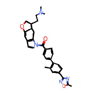 Cc1nc(-c2ccc(-c3ccc(C(=O)n4ccc5c4CC4C(=C5)OCC4CCN(C)C)cc3)c(C)c2)no1